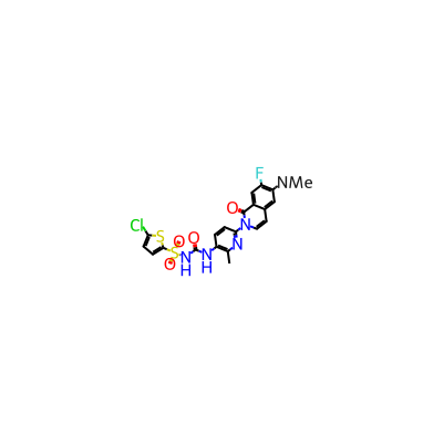 CNc1cc2ccn(-c3ccc(NC(=O)NS(=O)(=O)c4ccc(Cl)s4)c(C)n3)c(=O)c2cc1F